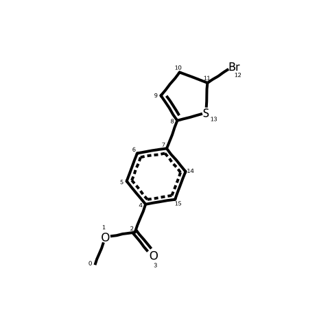 COC(=O)c1ccc(C2=CCC(Br)S2)cc1